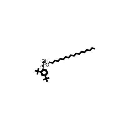 CCCCCCCCCCCCCCCCCCOP(O)Oc1ccc(C(C)(C)C)cc1C(C)(C)C